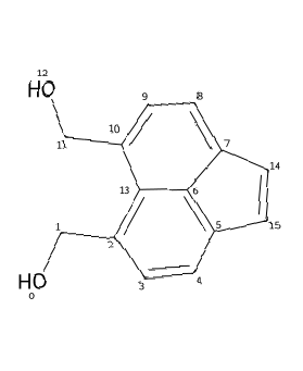 OCc1ccc2c3c(ccc(CO)c13)C=C2